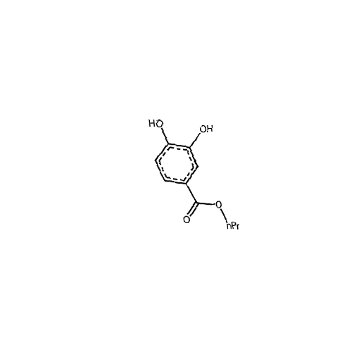 CCCOC(=O)c1ccc(O)c(O)c1